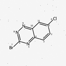 Clc1ccc2nc(Br)nnc2c1